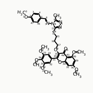 COc1ccc(C=Nn2c(C)nnc2SCCCOc2c(-c3cc(OC)c(OC)c(OC)c3)oc3cc(OC)cc(OC)c3c2=O)cc1